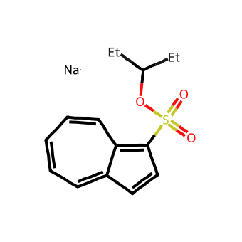 CCC(CC)OS(=O)(=O)c1ccc2cccccc1-2.[Na]